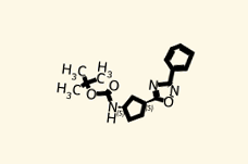 CC(C)(C)OC(=O)N[C@H]1CC[C@H](c2nc(-c3ccccc3)no2)C1